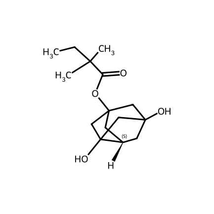 CCC(C)(C)C(=O)OC12C[C@@H]3CC(O)(C1)CC3(O)C2